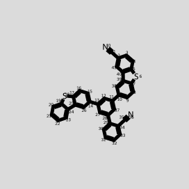 N#Cc1ccc2sc3ccc(-c4cc(-c5ccc6sc7ccccc7c6c5)cc(-c5ccccc5C#N)c4)cc3c2c1